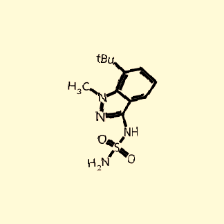 Cn1nc(NS(N)(=O)=O)c2cccc(C(C)(C)C)c21